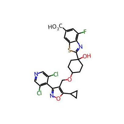 O=C(O)c1cc(F)c2nc(C3(O)CCC(OCc4c(-c5c(Cl)cncc5Cl)noc4C4CC4)CC3)sc2c1